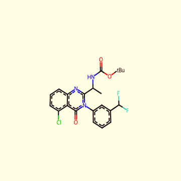 CC(NC(=O)OC(C)(C)C)c1nc2cccc(Cl)c2c(=O)n1-c1cccc(C(F)F)c1